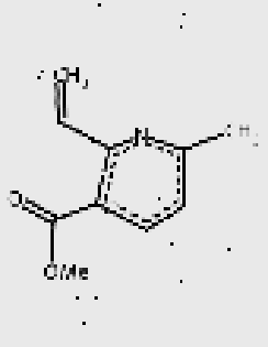 C=Cc1nc(C)ccc1C(=O)OC